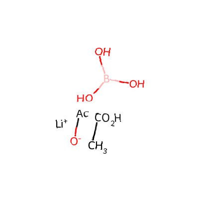 CC(=O)O.CC(=O)[O-].OB(O)O.[Li+]